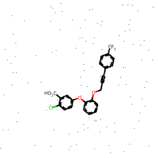 O=C(O)c1cc(Oc2ccccc2OCC#Cc2ccc(C(F)(F)F)cc2)ccc1Cl